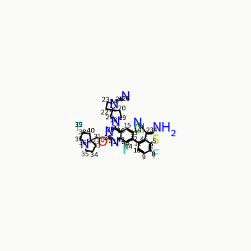 N#Cc1c(N)sc2c(F)ccc(-c3c(Cl)cc4c(N5CCC6(CCN6C#N)C5)nc(OC[C@@]56CCCN5C[C@H](F)C6)nc4c3F)c12